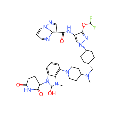 CN(C[C@H]1CC[C@H](n2cc(NC(=O)c3cnn4cccnc34)c(OC(F)F)n2)CC1)C1CCN(c2cccc3c2N(C)C(O)N3C2CCC(=O)NC2=O)CC1